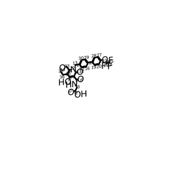 O=C(O)CNC(=O)c1c(O)c2c(n(Cc3ccc(-c4ccc(OC(F)(F)F)cc4)cc3)c1=O)COCC2